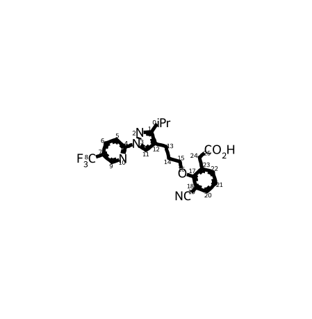 CC(C)c1nn(-c2ccc(C(F)(F)F)cn2)cc1CCCOc1c(C#N)cccc1CC(=O)O